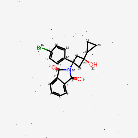 O=C1c2ccccc2C(=O)N1[C@]1(c2ccc(Br)cc2)C[C@@](O)(C2CC2)C1